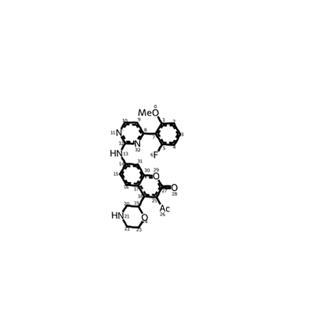 COc1cccc(F)c1-c1ccnc(Nc2ccc3c(C4CNCCO4)c(C(C)=O)c(=O)oc3c2)n1